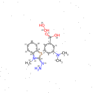 CN(C)c1cccc(C(=O)O)c1.Cn1c(=NN)sc2ccccc21.OO